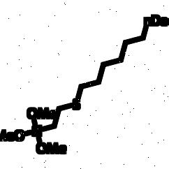 CCCCCCCCCCCCCCCCSCC[Si](OC)(OC)OC